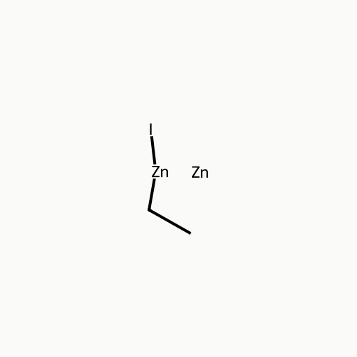 C[CH2][Zn][I].[Zn]